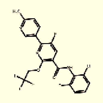 Cc1ccc(-c2nc(OCC(F)(F)F)c(C(=O)Nc3c(F)cccc3Cl)cc2F)cn1